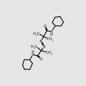 CC(C)(N=NC(C)(C)C(=O)NC1CCCCC1)C(=O)NC1CCCCC1